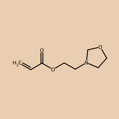 C=CC(=O)OCCN1CCOC1